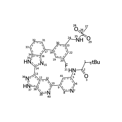 CC(C)(C)CC(=O)Nc1cncc(-c2cc3c(-c4nc5c(-c6cc(F)cc(CNS(C)(=O)=O)c6)cccc5[nH]4)n[nH]c3cn2)c1